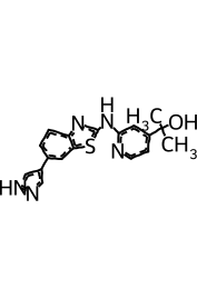 CC(C)(O)c1ccnc(Nc2nc3ccc(-c4cn[nH]c4)cc3s2)c1